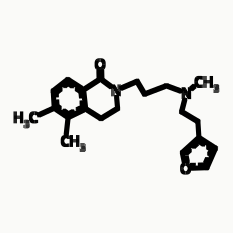 Cc1ccc2c(c1C)CCN(CCCN(C)CCc1ccoc1)C2=O